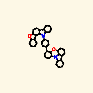 c1cc(-c2ccc(-n3c4ccccc4c4ccc5oc6ccccc6c5c43)cc2)c2c(c1)-n1c3ccccc3c3cccc(c31)O2